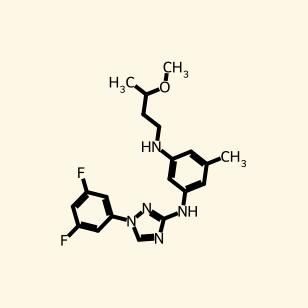 COC(C)CCNc1cc(C)cc(Nc2ncn(-c3cc(F)cc(F)c3)n2)c1